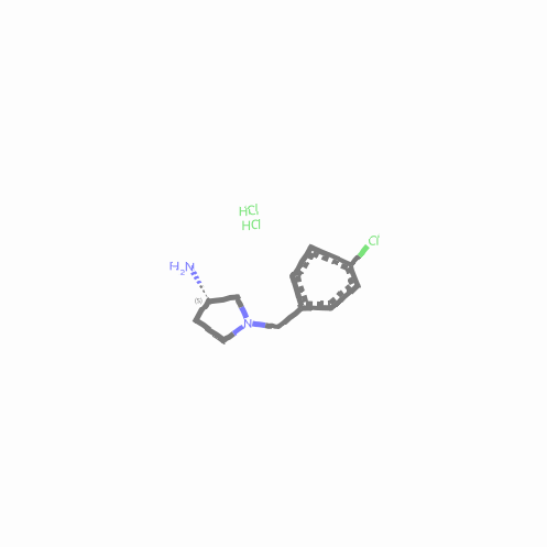 Cl.Cl.N[C@H]1CCN(Cc2ccc(Cl)cc2)C1